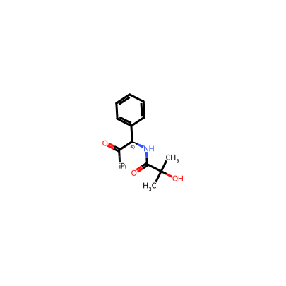 CC(C)C(=O)[C@H](NC(=O)C(C)(C)O)c1ccccc1